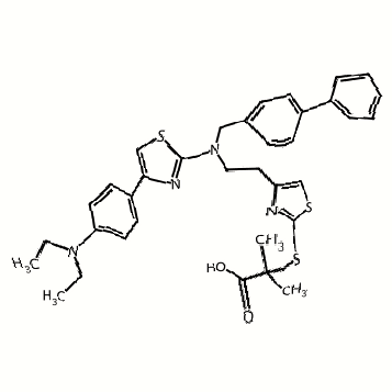 CCN(CC)c1ccc(-c2csc(N(CCc3csc(SC(C)(C)C(=O)O)n3)Cc3ccc(-c4ccccc4)cc3)n2)cc1